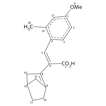 COc1ccc(C=C(C(=O)O)C2=C3CCC(C3)C2)c(C)c1